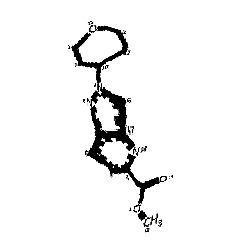 COC(=O)c1ccc2nn(C3CCOCC3)cc2n1